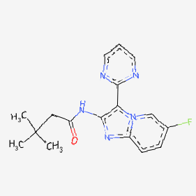 CC(C)(C)CC(=O)Nc1nc2ccc(F)cn2c1-c1ncccn1